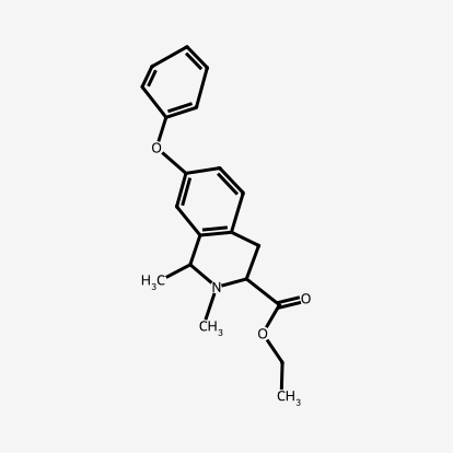 CCOC(=O)C1Cc2ccc(Oc3ccccc3)cc2C(C)N1C